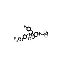 O=C1OC2(CCN(CCC3OCCO3)CC2)C(Cc2ccc(F)cc2)N1Cc1ccc(OC(F)(F)F)cc1